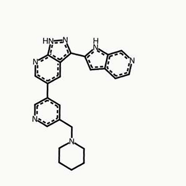 c1cc2cc(-c3n[nH]c4ncc(-c5cncc(CN6CCCCC6)c5)cc34)[nH]c2cn1